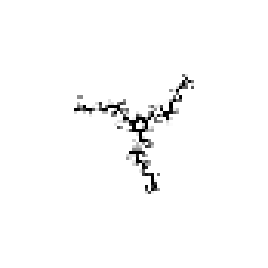 CC(C)(CCOCC1CO1)OC(=O)c1cc(C(=O)OC(C)(C)CCOCC2CO2)cc(C(=O)OC(C)(C)CCOCC2CO2)c1